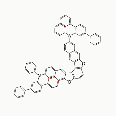 c1ccc(-c2ccc(-c3ccccc3)c(N(c3ccccc3)c3ccc4cc5c(cc4c3)oc3ccc4oc6cc7cc(N(c8ccccc8)c8cc(-c9ccccc9)ccc8-c8ccccc8)ccc7cc6c4c35)c2)cc1